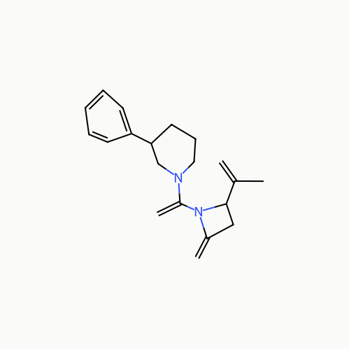 C=C(C)C1CC(=C)N1C(=C)N1CCCC(c2ccccc2)C1